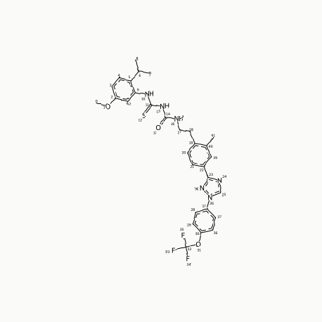 COc1ccc(C(C)C)c(NC(=S)NC(=O)NCCc2ccc(-c3ncn(-c4ccc(OC(F)(F)F)cc4)n3)cc2C)c1